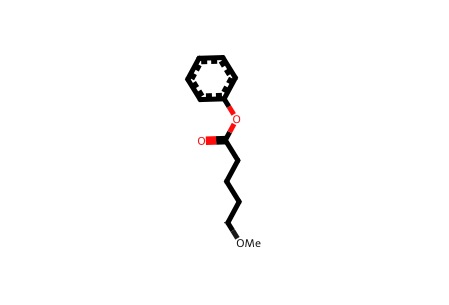 CO[CH]CCCC(=O)Oc1ccccc1